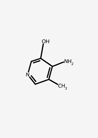 Cc1cncc(O)c1N